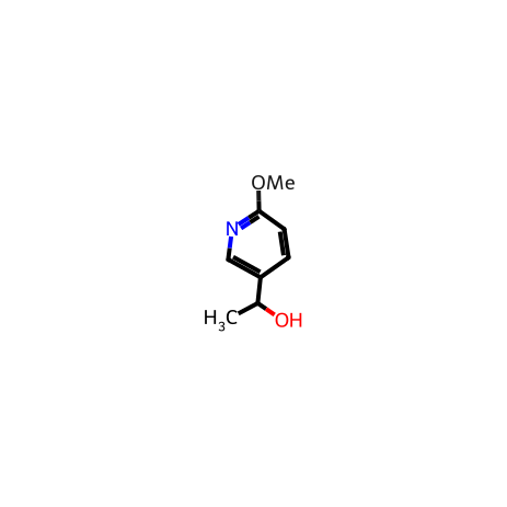 COc1ccc(C(C)O)cn1